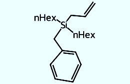 C=CC[Si](CCCCCC)(CCCCCC)Cc1ccccc1